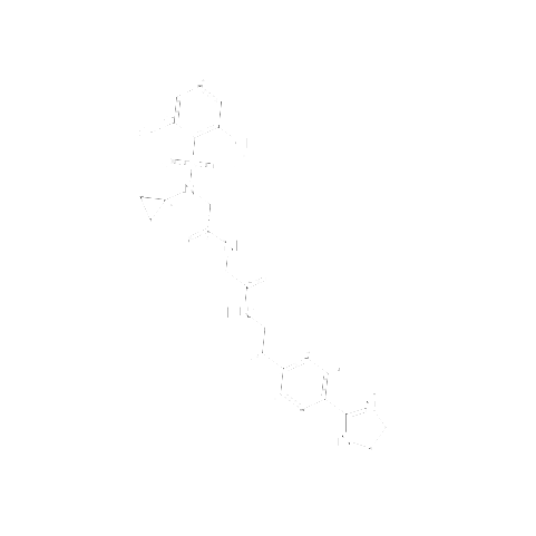 O=C(CNC(=O)CN(C1CC1)S(=O)(=O)c1c(Cl)cccc1Cl)NCCc1ccc(C2=NCCN2)cc1